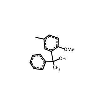 COc1ccc(C)cc1C(O)(c1ccccc1)C(F)(F)F